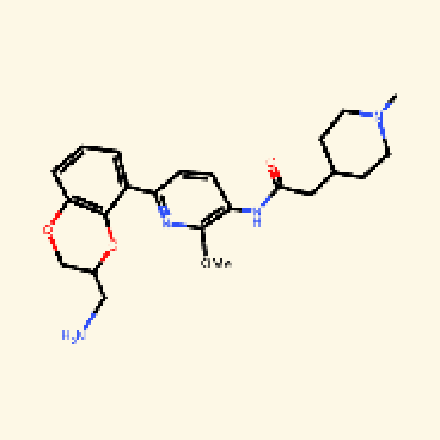 COc1nc(-c2cccc3c2OC(CN)CO3)ccc1NC(=O)CC1CCN(C)CC1